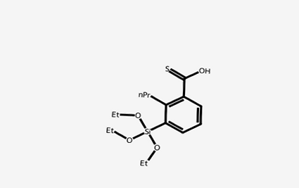 CCCc1c(C(O)=S)cccc1[Si](OCC)(OCC)OCC